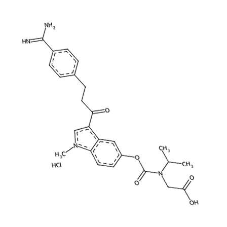 CC(C)N(CC(=O)O)C(=O)Oc1ccc2c(c1)c(C(=O)CCc1ccc(C(=N)N)cc1)cn2C.Cl